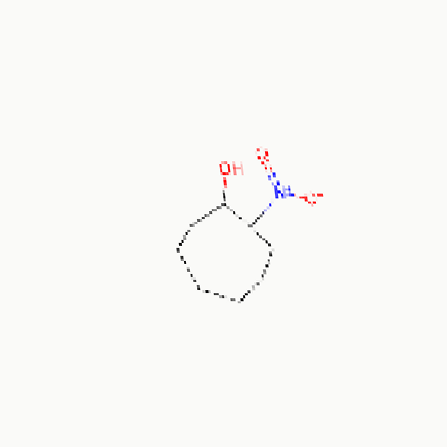 O=[N+]([O-])C1CCCCCCC1O